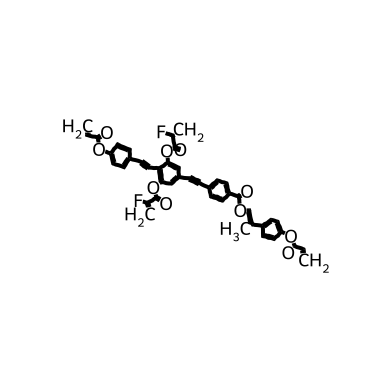 C=CC(=O)Oc1ccc(C#Cc2c(OC(=O)C(=C)F)cc(C#Cc3ccc(C(=O)O/C=C(\C)c4ccc(OC(=O)C=C)cc4)cc3)cc2OC(=O)C(=C)F)cc1